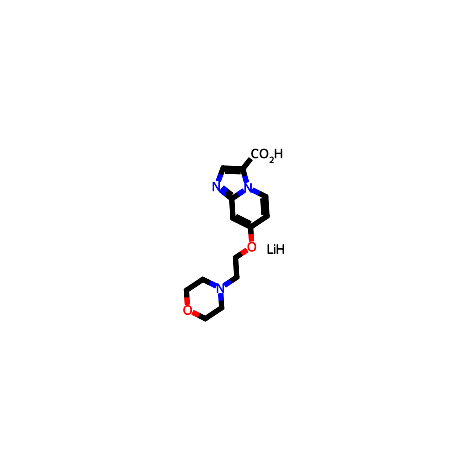 O=C(O)c1cnc2cc(OCCN3CCOCC3)ccn12.[LiH]